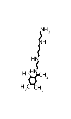 C=C(NCCCNCCCCNCCCN)C1CC(C)C(C)CC1C